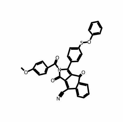 COc1ccc(C(=O)N2C(=O)C3=C(C#N)c4ccccc4C(=O)C3=C2c2ccc(SOc3ccccc3)cc2)cc1